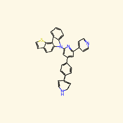 C1=CC(c2ccc(-c3cc(-c4ccncc4)nc(-n4c5ccccc5c5c6sccc6ccc54)c3)cc2)=CCN1